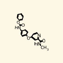 CNC(=O)c1cc(Oc2ccc(NC(=O)Oc3ccccc3)cc2)ccn1